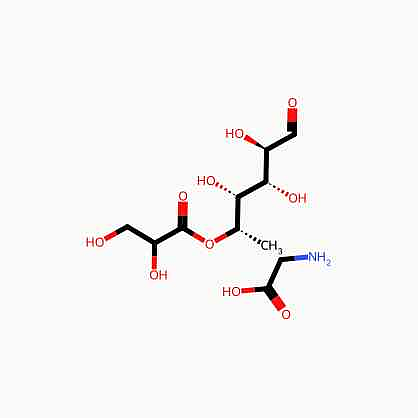 C[C@H](OC(=O)C(O)CO)[C@H](O)[C@@H](O)[C@@H](O)C=O.NCC(=O)O